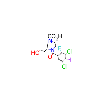 O=C(O)N1CCN(C(=O)c2cc(Cl)c(I)c(Cl)c2F)[C@@H](CCO)C1